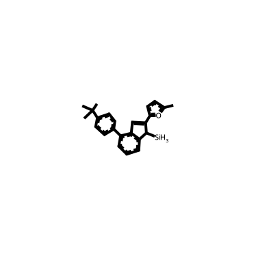 Cc1ccc(C2=Cc3c(-c4ccc(C(C)(C)C)cc4)cccc3C2[SiH3])o1